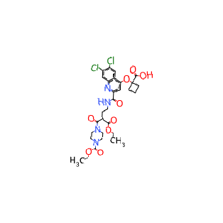 CCOC(=O)C(CCNC(=O)c1cc(OC2(C(=O)O)CCC2)c2cc(Cl)c(Cl)cc2n1)C(=O)N1CCN(C(=O)OCC)CC1